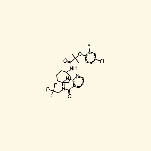 CC(C)(Oc1ccc(Cl)cc1F)C(=O)NC12CCCC(CC1)N2c1ncccc1C(=O)NCC(F)(F)F